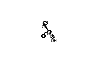 O[C@H]1CCN(c2ccc(C#C[C@@]3(O)CN4CCC3CC4)c(Cc3ccccc3)n2)C1